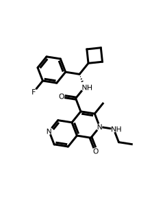 CCNn1c(C)c(C(=O)N[C@H](c2cccc(F)c2)C2CCC2)c2cnccc2c1=O